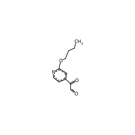 CCCCOc1cc(C(=O)C=O)ccn1